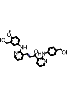 COc1ccc(Nc2ncccc2/C=C/C(=O)c2cccnc2Nc2ccc(CO)cc2)cc1CO